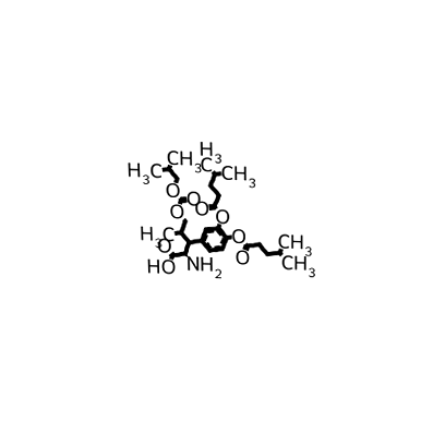 CC(C)CCC(=O)Oc1ccc(C(C(C)COC(=O)OCC(C)C)[C@H](N)C(=O)O)cc1OC(=O)CCC(C)C